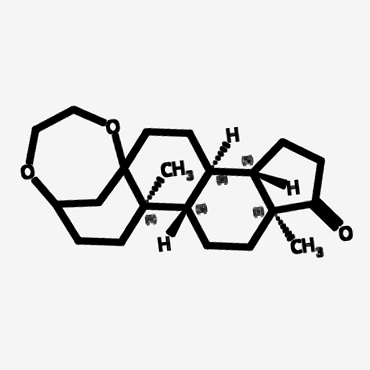 C[C@]12CC[C@H]3[C@@H](CCC45CC(CC[C@]34C)OCCO5)[C@@H]1CCC2=O